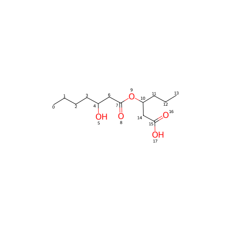 CCCCC(O)CC(=O)OC(CCC)CC(=O)O